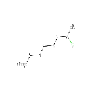 CCCCCCCCCCC(Cl)C#N